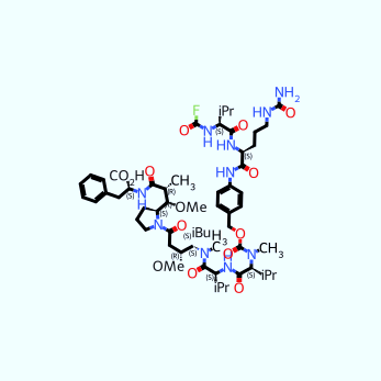 CC[C@H](C)[C@@H]([C@@H](CC(=O)N1CCC[C@H]1[C@H](OC)[C@@H](C)C(=O)N[C@@H](Cc1ccccc1)C(=O)O)OC)N(C)C(=O)[C@@H](NC(=O)[C@H](C(C)C)N(C)C(=O)OCc1ccc(NC(=O)[C@H](CCCNC(N)=O)NC(=O)[C@@H](NC(=O)F)C(C)C)cc1)C(C)C